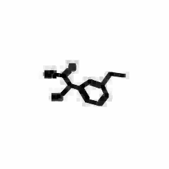 CCc1cccc(C(S)C([NH])=O)c1